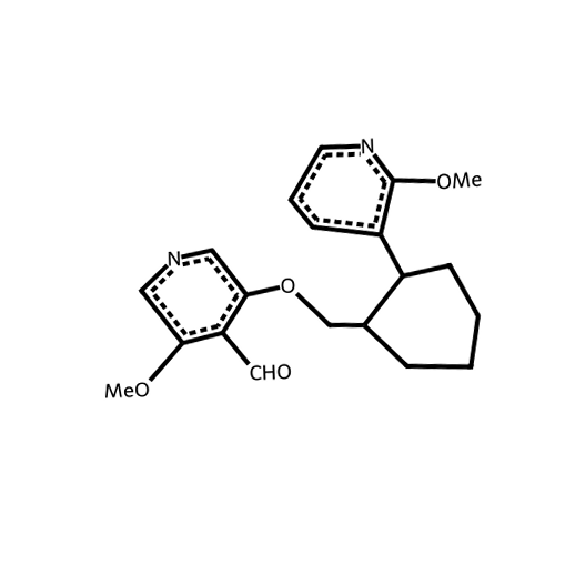 COc1cncc(OCC2CCCCC2c2cccnc2OC)c1C=O